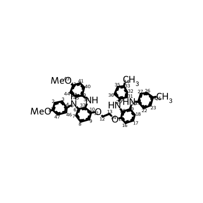 COc1ccc(Nc2cccc(OCCOc3cccc(Nc4ccc(C)cc4)c3Nc3ccc(C)cc3)c2Nc2ccc(OC)cc2)cc1